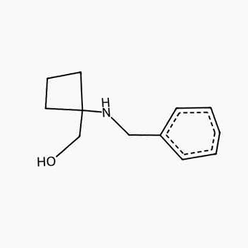 OCC1(NCc2ccccc2)CCC1